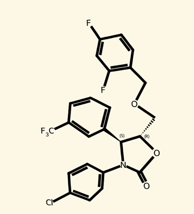 O=C1O[C@@H](COCc2ccc(F)cc2F)[C@H](c2cccc(C(F)(F)F)c2)N1c1ccc(Cl)cc1